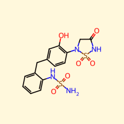 NS(=O)(=O)Nc1ccccc1Cc1ccc(N2CC(=O)NS2(=O)=O)c(O)c1